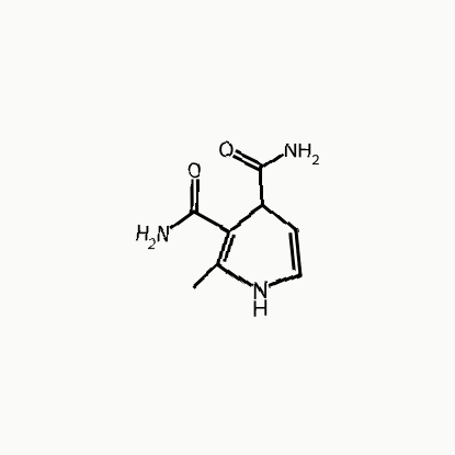 CC1=C(C(N)=O)C(C(N)=O)C=CN1